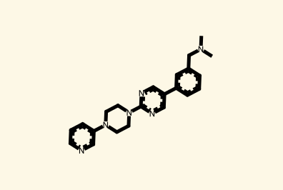 CN(C)Cc1cccc(-c2cnc(N3CCN(c4cccnc4)CC3)nc2)c1